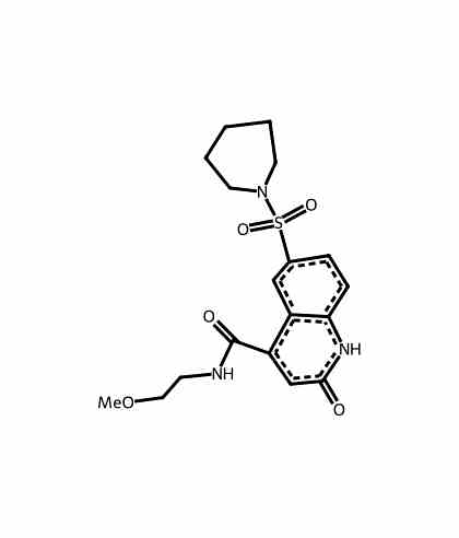 COCCNC(=O)c1cc(=O)[nH]c2ccc(S(=O)(=O)N3CCCCC3)cc12